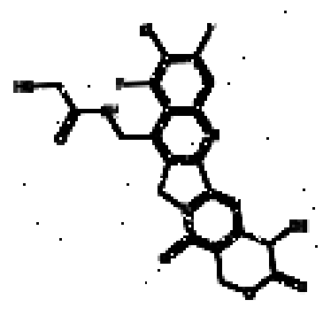 O=C(CO)NCc1c2c(nc3cc(F)c(Cl)c(F)c13)-c1cc3c(c(=O)n1C2)COC(=O)C3O